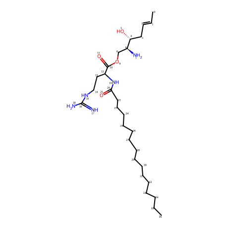 CC=CC[C@@H](O)[C@@H](N)COC(=O)C(CCNC(=N)N)NC(=O)CCCCCCCCCCCCCCC